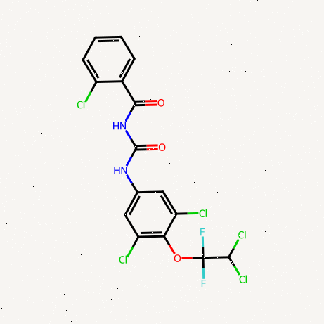 O=C(NC(=O)c1ccccc1Cl)Nc1cc(Cl)c(OC(F)(F)C(Cl)Cl)c(Cl)c1